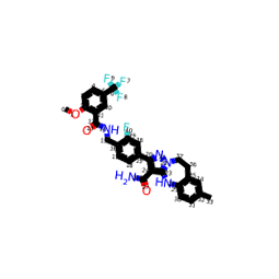 COc1ccc(C(F)(F)F)cc1C(=O)NCc1ccc(-c2nn3c(c2C(N)=O)Nc2ccc(C)cc2CC3)cc1F